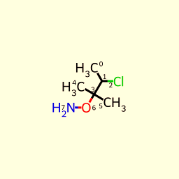 CC(Cl)C(C)(C)ON